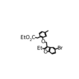 CCOC(=O)Cc1ccc(C)cc1OCc1c(CC)oc2ccc(Br)cc12